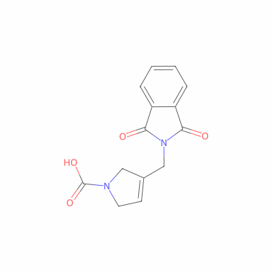 O=C(O)N1CC=C(CN2C(=O)c3ccccc3C2=O)C1